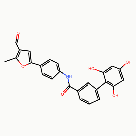 Cc1oc(-c2ccc(NC(=O)c3cccc(-c4c(O)cc(O)cc4O)c3)cc2)cc1C=O